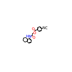 [C-]#[N+]c1ccc(C(=O)OCC(=O)Nc2cccc3c2CCCC3)cc1